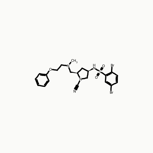 CN(CCOc1ccccc1)C[C@H]1C[C@@H](NS(=O)(=O)c2cc(Br)ccc2Br)CN1C#N